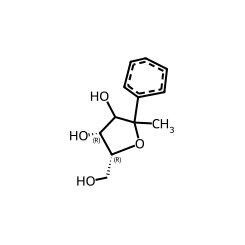 CC1(c2ccccc2)O[C@H](CO)[C@H](O)C1O